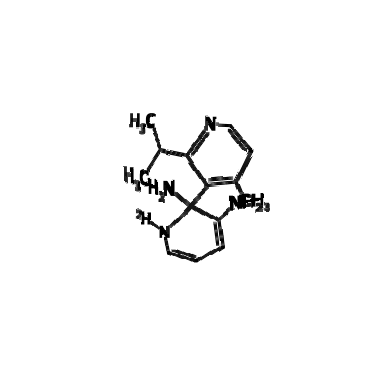 [2H]N1C=CC=C(N)C1(N)c1c(C)ccnc1C(C)C